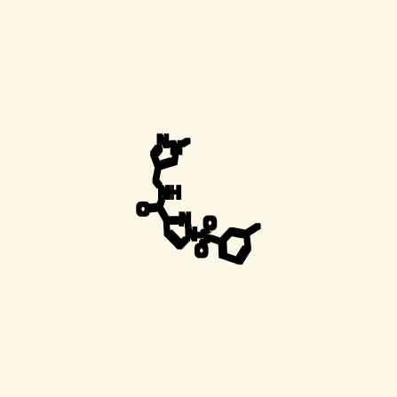 Cc1cccc(S(=O)(=O)n2ccc(C(=O)NCc3cnn(C)c3)n2)c1